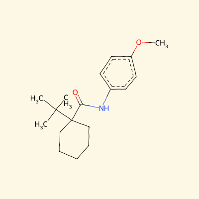 COc1ccc(NC(=O)C2(C(C)(C)C)CCCCC2)cc1